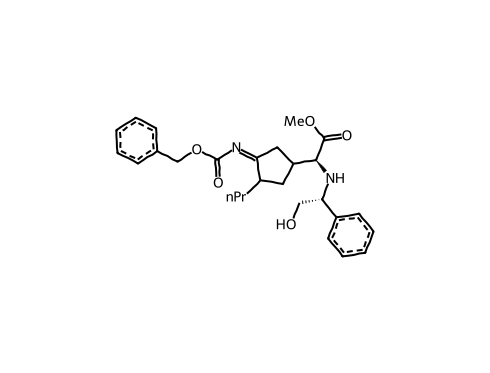 CCCC1CC([C@H](N[C@@H](CO)c2ccccc2)C(=O)OC)C/C1=N/C(=O)OCc1ccccc1